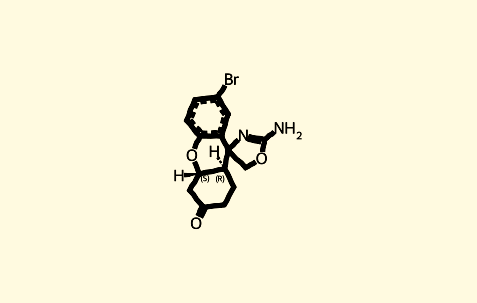 NC1=NC2(CO1)c1cc(Br)ccc1O[C@H]1CC(=O)CC[C@@H]12